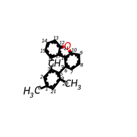 Cc1cc(C)c(-c2cccc3oc4ccccc4c23)c(C)c1